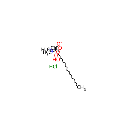 CCCCCCCCCCCCCCCC(O)CC(=O)OC(CC(=O)[O-])C[N+](C)(C)C.Cl